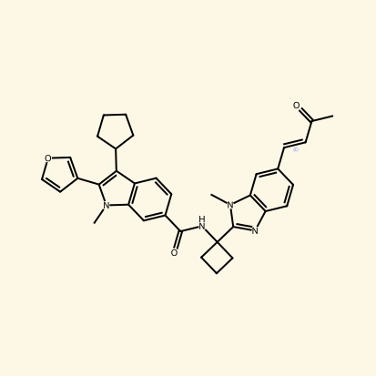 CC(=O)/C=C/c1ccc2nc(C3(NC(=O)c4ccc5c(C6CCCC6)c(-c6ccoc6)n(C)c5c4)CCC3)n(C)c2c1